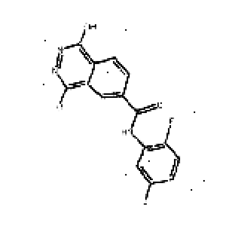 O=C(Nc1cc(F)ccc1F)c1ccc2c(O)nnc(Cl)c2c1